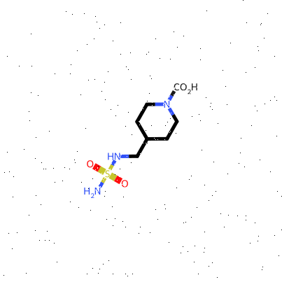 NS(=O)(=O)NCC1CCN(C(=O)O)CC1